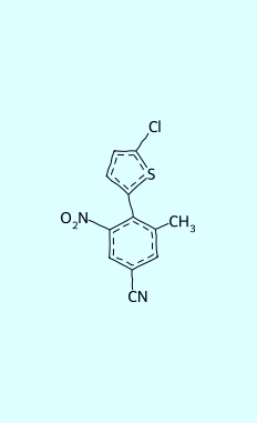 Cc1cc(C#N)cc([N+](=O)[O-])c1-c1ccc(Cl)s1